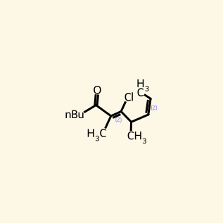 C/C=C\C(C)/C(Cl)=C(\C)C(=O)CCCC